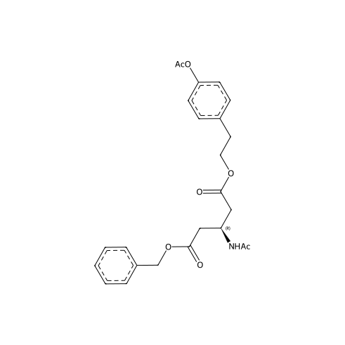 CC(=O)N[C@H](CC(=O)OCCc1ccc(OC(C)=O)cc1)CC(=O)OCc1ccccc1